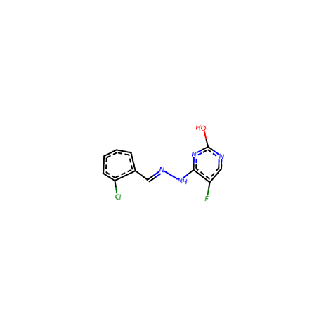 Oc1ncc(F)c(N/N=C/c2ccccc2Cl)n1